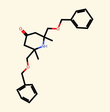 CC1(COCc2ccccc2)CC(=O)CC(C)(COCc2ccccc2)N1